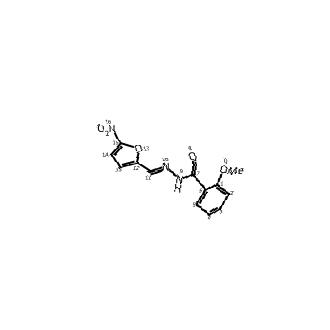 COc1ccccc1C(=O)N/N=C/c1ccc([N+](=O)[O-])o1